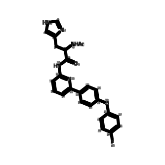 CC(=O)NC(Cc1c[nH]cn1)C(=O)Nc1cccc(-c2ccc(Oc3ccc(F)cc3)cc2)n1